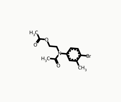 CC(=O)OCCN(C(C)=O)c1ccc(Br)c(C)c1